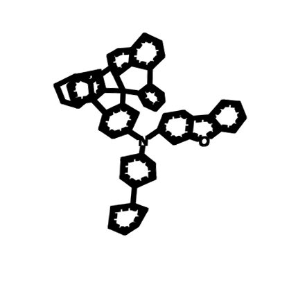 c1ccc(-c2ccc(N(c3ccc4c(c3)C3(c5ccccc5-4)c4ccccc4-c4cccc5ccc(C6CCCCC6)c3c45)c3ccc4c(c3)oc3ccccc34)cc2)cc1